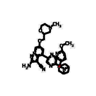 COc1ccc(CN2C3CC2CN(c2cnc(-c4cc(OCC5CN(C)CCO5)cn5nc(N)c(C#N)c45)cn2)C3)cn1